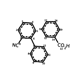 N#Cc1ccccc1-c1ccccc1.O=C(O)c1ccccc1